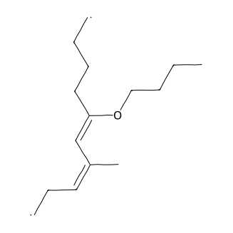 [CH2]CC=C(C)C=C(CCC[CH2])OCCCC